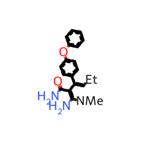 CC/C=C(/C(C(N)=O)=C(/N)NC)c1ccc(Oc2ccccc2)cc1